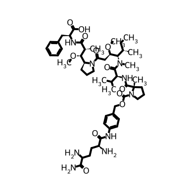 CC[C@H](C)[C@@H]([C@@H](CC(=O)N1CCC[C@H]1[C@H](OC)[C@@H](C)C(=O)N[C@@H](Cc1ccccc1)C(=O)O)OC)N(C)C(=O)[C@@H](NC(=O)[C@]1(C)CCCN1C(=O)OCc1ccc(NC(=O)[C@@H](N)CCC(N)C(N)=O)cc1)C(C)C